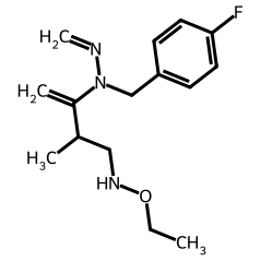 C=NN(Cc1ccc(F)cc1)C(=C)C(C)CNOCC